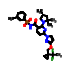 Cc1cccc(S(=O)(=O)NC(=O)c2ccc(-n3ccc(OCC4(C(C)(F)F)CC4)n3)nc2N2C[C@@H](C)CC2(C)C)c1